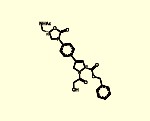 CC(=O)NC[C@H]1CN(c2ccc(C3=C[C@@H](C(=O)OCc4ccccc4)N(C(=O)CO)C3)cc2)C(=O)O1